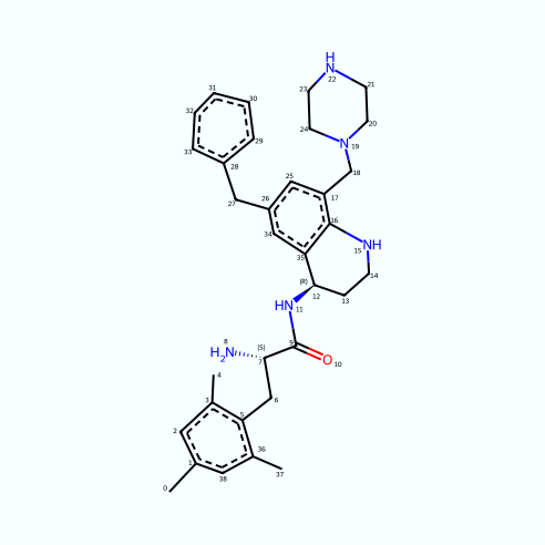 Cc1cc(C)c(C[C@H](N)C(=O)N[C@@H]2CCNc3c(CN4CCNCC4)cc(Cc4ccccc4)cc32)c(C)c1